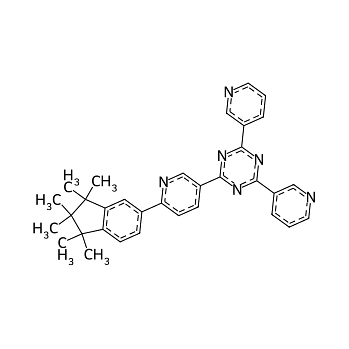 CC1(C)c2ccc(-c3ccc(-c4nc(-c5cccnc5)nc(-c5cccnc5)n4)cn3)cc2C(C)(C)C1(C)C